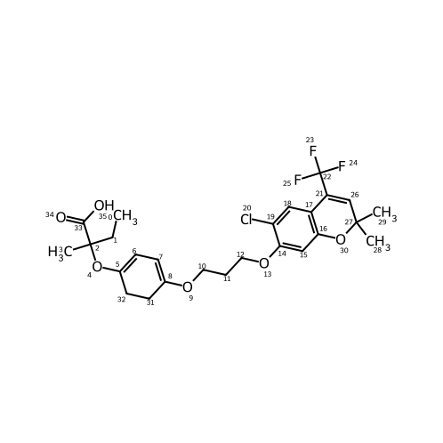 CCC(C)(OC1=CC=C(OCCCOc2cc3c(cc2Cl)C(C(F)(F)F)=CC(C)(C)O3)CC1)C(=O)O